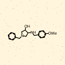 COc1ccc(CNC2CN(Cc3ccccc3)CC2O)cc1